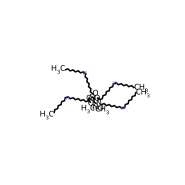 CCCCCCCC/C=C\CCCCCCCC(=O)OCC(OC(=O)CCCCCCC/C=C\CCCCCCCC)C(N(C)C)N(C(=O)CCCCCCC/C=C\CCCCCCCC)C(=O)CCCCCCC/C=C\CCCCCCCC